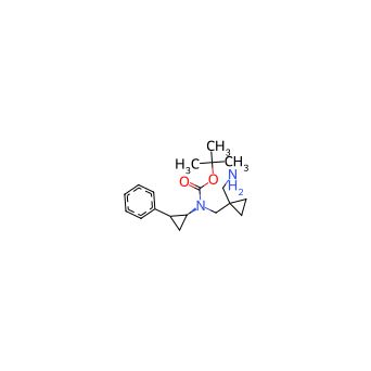 CC(C)(C)OC(=O)N(CC1(CN)CC1)[C@H]1CC1c1ccccc1